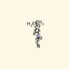 C=C(C)C(=O)Cc1ccc(/C=C/C(=O)OCCC#N)c(F)c1